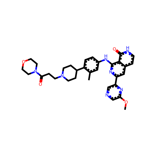 COc1cncc(-c2cc3cc[nH]c(=O)c3c(Nc3ccc(C4CCN(CCC(=O)N5CCOCC5)CC4)c(C)c3)n2)n1